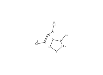 CC1CCCO1.ClC=CCCl